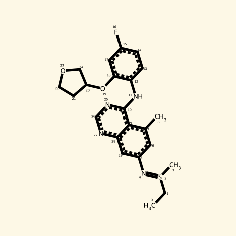 CC/S(C)=N/c1cc(C)c2c(Nc3ccc(F)cc3OC3CCOC3)ncnc2c1